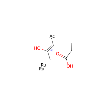 CC(=O)/C=C(/C)O.CCC(=O)O.[Ru].[Ru]